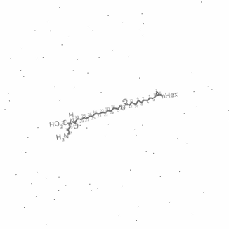 CCCCCCC1CC1CCCCCCCCCC(=O)OCCCCCCCCCCCCCCCC(=O)N[C@@H](CCCN)C(=O)O